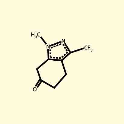 Cn1nc(C(F)(F)F)c2c1CC(=O)CC2